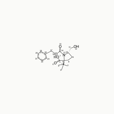 CC(C)(C)[C@]1(C(=O)O)CC[C@@H](CO)N1C(=O)OCc1ccccc1